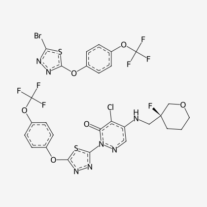 FC(F)(F)Oc1ccc(Oc2nnc(Br)s2)cc1.O=c1c(Cl)c(NC[C@@]2(F)CCCOC2)cnn1-c1nnc(Oc2ccc(OC(F)(F)F)cc2)s1